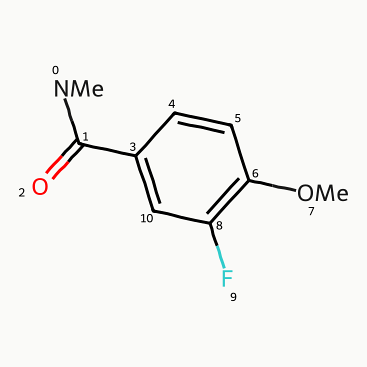 CNC(=O)c1ccc(OC)c(F)c1